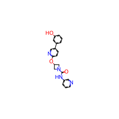 O=C(Nc1cccnc1)N1CC(Oc2ccc(-c3cccc(O)c3)cn2)C1